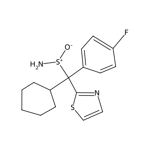 N[S+]([O-])C(c1ccc(F)cc1)(c1nccs1)C1CCCCC1